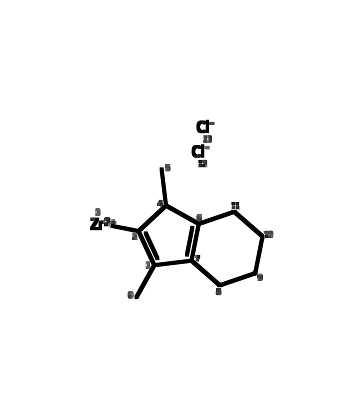 CC1=[C]([Zr+2])C(C)C2=C1CCCC2.[Cl-].[Cl-]